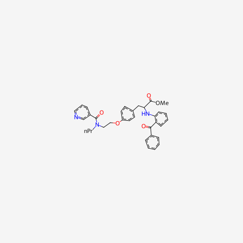 CCCN(CCOc1ccc(CC(Nc2ccccc2C(=O)c2ccccc2)C(=O)OC)cc1)C(=O)c1cccnc1